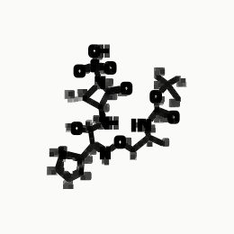 CC(CO/N=C(\C(=O)N[C@@H]1C(=O)N(S(=O)(=O)O)[C@H]1C)c1cccs1)NC(=O)OC(C)(C)C